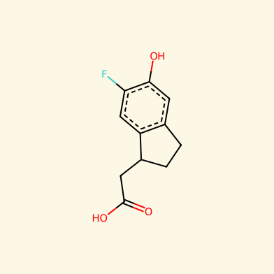 O=C(O)CC1CCc2cc(O)c(F)cc21